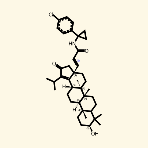 CC(C)C1=C2[C@H]3CC[C@@H]4[C@@]5(C)CC[C@H](O)C(C)(C)C5CC[C@@]4(C)[C@]3(C)CC[C@@]2(/C=C/C(=O)NC2(c3ccc(Cl)cc3)CC2)CC1=O